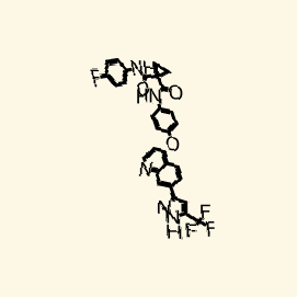 O=C(Nc1ccc(F)cc1)C1(C(=O)Nc2ccc(Oc3ccnc4cc(-c5cc(C(F)(F)F)[nH]n5)ccc34)cc2)CC1